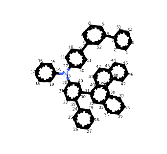 c1ccc(-c2cccc(-c3ccc(N(c4ccccc4)c4ccc(-c5ccccc5)c(-c5cc6ccccc6c6c5ccc5ccccc56)c4)cc3)c2)cc1